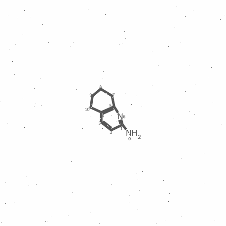 Nc1ccc2c(n1)CCCC2